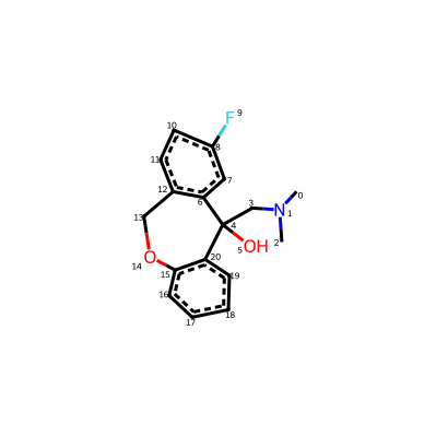 CN(C)CC1(O)c2cc(F)ccc2COc2ccccc21